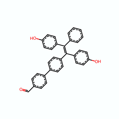 O=Cc1ccc(-c2ccc(C(=C(c3ccccc3)c3ccc(O)cc3)c3ccc(O)cc3)cc2)cc1